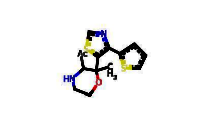 CC(=O)C1NCCOC1(C)c1scnc1-c1cccs1